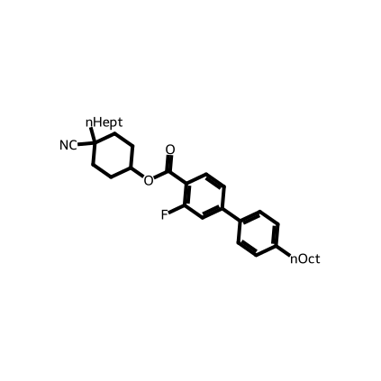 CCCCCCCCc1ccc(-c2ccc(C(=O)OC3CCC(C#N)(CCCCCCC)CC3)c(F)c2)cc1